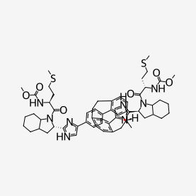 COC(=O)N[C@@H](CCSC)C(=O)N1C2CCCCC2C[C@H]1c1nc(-c2ccc(-c3cc4ccc3CCc3ccc(c(-c5c[nH]c([C@@H]6CC7CCCCC7N6C(=O)[C@H](CCSC)NC(=O)OC)n5)c3)C[C@H]4C)cc2)c[nH]1